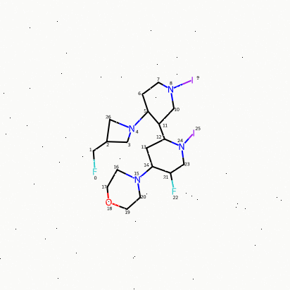 FCC1CN(C2CCN(I)CC2C2CC(N3CCOCC3)C(F)CN2I)C1